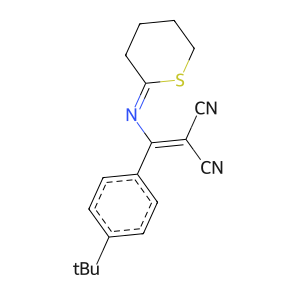 CC(C)(C)c1ccc(C(/N=C2/CCCCS2)=C(C#N)C#N)cc1